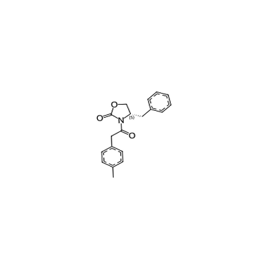 Cc1ccc(CC(=O)N2C(=O)OC[C@@H]2Cc2ccccc2)cc1